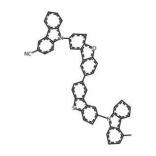 Cc1cccc2c1c1ccccc1n2-c1ccc2sc3ccc(-c4ccc5oc6ccc(-n7c8ccccc8c8cc(C#N)ccc87)cc6c5c4)cc3c2c1